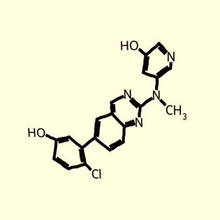 CN(c1cncc(O)c1)c1ncc2cc(-c3cc(O)ccc3Cl)ccc2n1